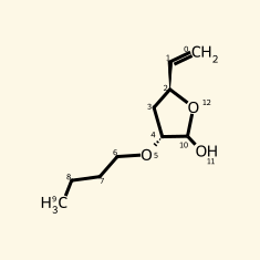 C=C[C@@H]1C[C@@H](OCCCC)C(O)O1